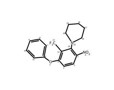 O=[N+]([O-])c1ccc(Oc2ccccc2)c(C(F)(F)F)c1N1C[CH]CCC1